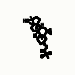 C[C@]12CC/C(=N\NS(C)(=O)=O)C=C1C1(CC1)C[C@@H]1[C@@H]2CC[C@@]2(C)[C@H]1CC[C@]2(C)O